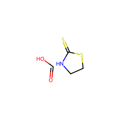 O=CO.S=C1NCCS1